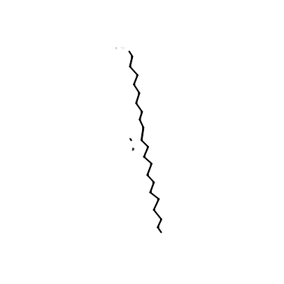 CCCCCCCCCCCCCCCCCCCCCCCCCCCCCCO.CCOCC